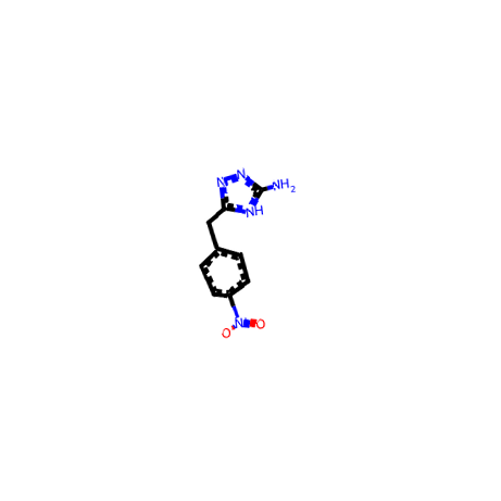 Nc1nnc(Cc2ccc([N+](=O)[O-])cc2)[nH]1